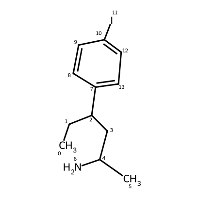 CCC(CC(C)N)c1ccc(I)cc1